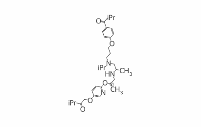 CC(CN(CCCOc1ccc(C(=O)C(C)C)cc1)C(C)C)NC[C@@H](C)Oc1ccc(OCC(=O)C(C)C)cn1